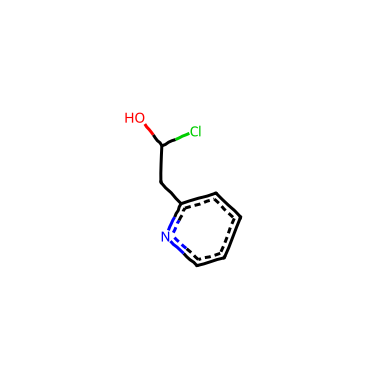 OC(Cl)Cc1ccccn1